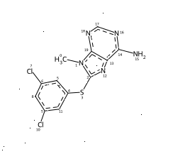 Cn1c(Sc2cc(Cl)cc(Cl)c2)nc2c(N)ncnc21